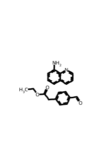 CCOC(=O)Cc1ccc(C=O)cc1.Nc1cccc2cccnc12